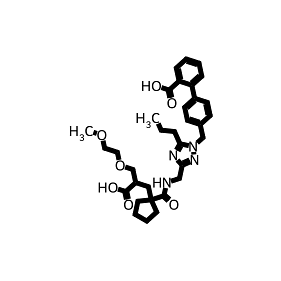 CCCc1nc(CNC(=O)C2(CC(COCCOC)C(=O)O)CCCC2)nn1Cc1ccc(-c2ccccc2C(=O)O)cc1